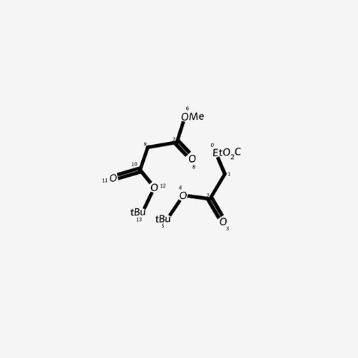 CCOC(=O)CC(=O)OC(C)(C)C.COC(=O)CC(=O)OC(C)(C)C